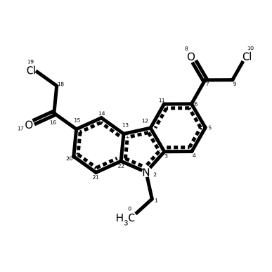 CCn1c2ccc(C(=O)CCl)cc2c2cc(C(=O)CCl)ccc21